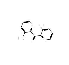 Nc1cccnc1C(=O)c1ncccc1N